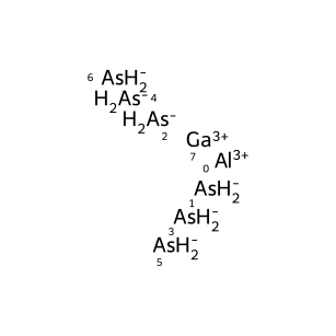 [Al+3].[AsH2-].[AsH2-].[AsH2-].[AsH2-].[AsH2-].[AsH2-].[Ga+3]